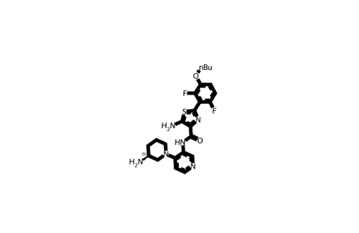 CCCCOc1ccc(F)c(-c2nc(C(=O)Nc3cnccc3N3CCC[C@H](N)C3)c(N)s2)c1F